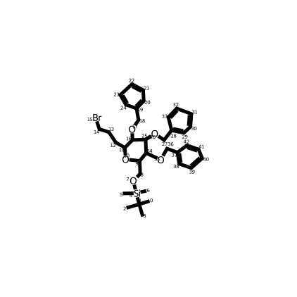 CC(C)(C)[Si](C)(C)OCC1OC(CCCBr)C(OCc2ccccc2)C(OCc2ccccc2)C1OCc1ccccc1